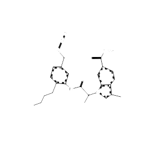 CCOC(=O)CCCc1ccc(CN=[N+]=[N-])cc1NC(=O)C(C)n1cc(C)c2ccc(C(=O)NC)cc21